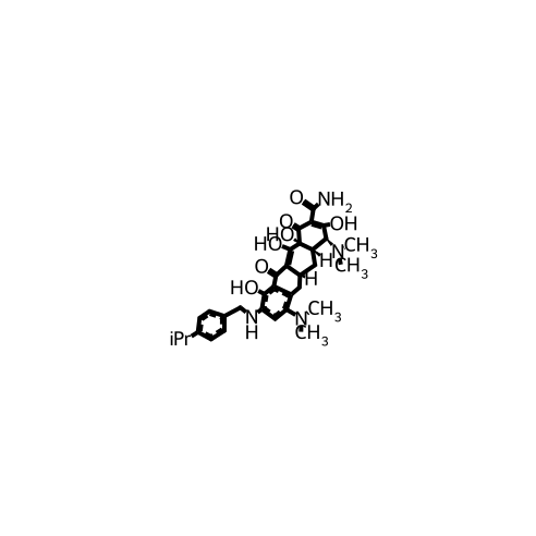 CC(C)c1ccc(CNc2cc(N(C)C)c3c(c2O)C(=O)C2=C(O)[C@]4(O)C(=O)C(C(N)=O)=C(O)[C@@H](N(C)C)[C@@H]4C[C@@H]2C3)cc1